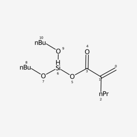 C=C(CCC)C(=O)O[SiH](OCCCC)OCCCC